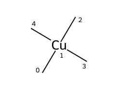 [CH3][Cu]([CH3])([CH3])[CH3]